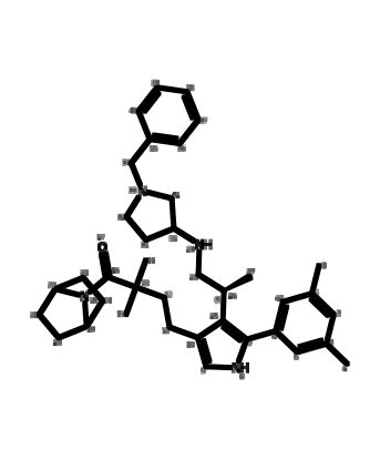 Cc1cc(C)cc(-c2[nH]cc(CCC(C)(C)C(=O)N3C4CCC3CC4)c2[C@H](C)CNC2CCN(Cc3ccccc3)C2)c1